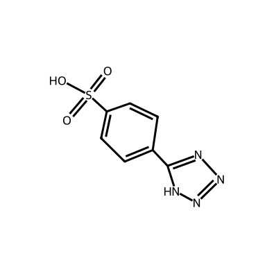 O=S(=O)(O)c1ccc(-c2nnn[nH]2)cc1